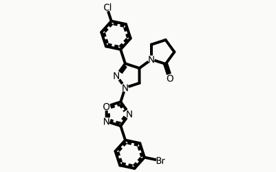 O=C1CCCN1C1CN(c2nc(-c3cccc(Br)c3)no2)N=C1c1ccc(Cl)cc1